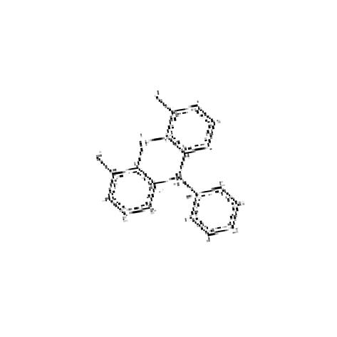 Cc1cccc2c1Oc1c(C)cccc1N2c1ccccc1